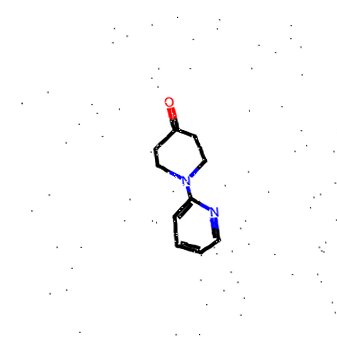 O=C1CCN(c2cc[c]cn2)CC1